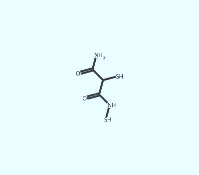 NC(=O)C(S)C(=O)NS